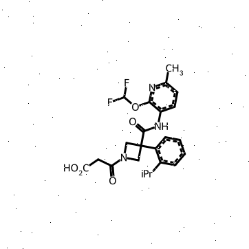 Cc1ccc(NC(=O)C2(c3ccccc3C(C)C)CN(C(=O)CC(=O)O)C2)c(OC(F)F)n1